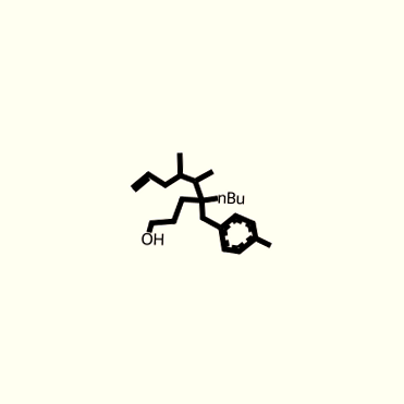 C=CCC(C)C(C)C(CCCC)(CCCO)Cc1ccc(C)cc1